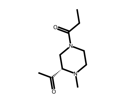 CCC(=O)N1CCN(C)[C@H](C(C)=O)C1